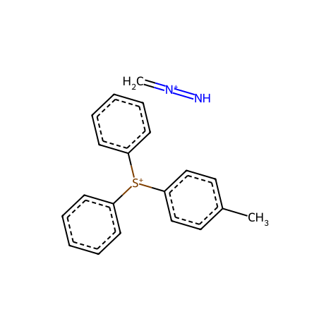 C=[N+]=N.Cc1ccc([S+](c2ccccc2)c2ccccc2)cc1